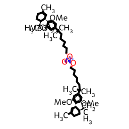 C=C(C)[C@H]1CCC(C)=C[C@@H]1c1c(OC)cc(C(C)(C)CCCCCCO[N+](=O)OCCCCCCC(C)(C)c2cc(OC)c([C@H]3C=C(C)CC[C@@H]3C(=C)C)c(OC)c2)cc1OC